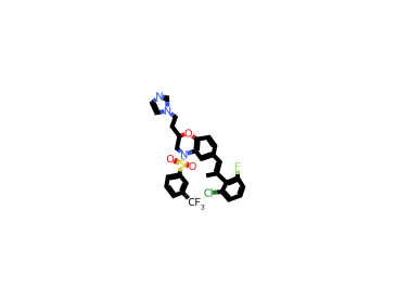 CC(=Cc1ccc2c(c1)N(S(=O)(=O)c1cccc(C(F)(F)F)c1)CC(CCn1ccnc1)O2)c1c(F)cccc1Cl